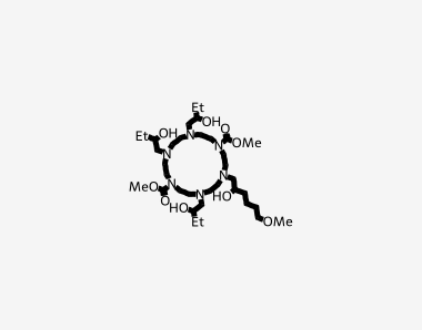 CCC(O)CN1CCN(CC(O)CC)CCN(C(=O)OC)CCN(CC(O)CCCCOC)CCN(CC(O)CC)CCN(C(=O)OC)CC1